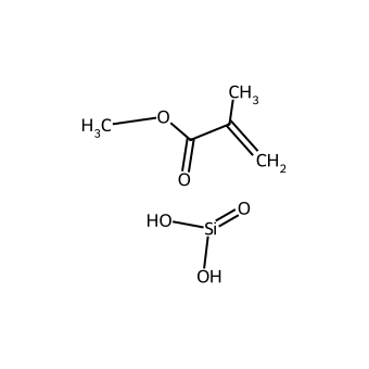 C=C(C)C(=O)OC.O=[Si](O)O